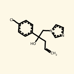 C=CCC(O)(Cn1ccnc1)c1ccc(Cl)cc1